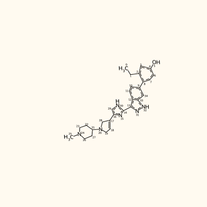 CCc1cc(O)ccc1-c1ccc2c(-c3nc(C4=CCN(C5CCN(C)CC5)C4)c[nH]3)n[nH]c2c1